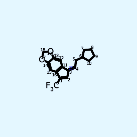 FC(F)(F)C1=C/C(=C/CC2CCCC2)c2cc3c(cc21)OCO3